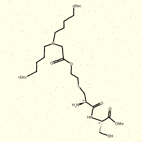 CCCCCCCCCCCCCCN(CCCCCCCCCCCCCC)CC(=O)OCCSC[C@H](N)C(=O)N[C@@H](CO)C(=O)OC